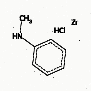 CNc1ccccc1.Cl.[Zr]